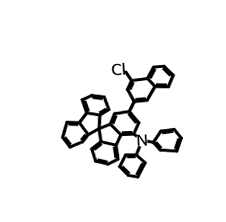 Clc1cc(-c2cc(N(c3ccccc3)c3ccccc3)c3c(c2)C2(c4ccccc4-c4ccccc42)c2ccccc2-3)cc2ccccc12